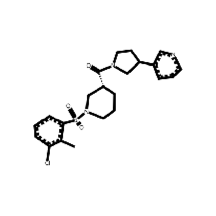 Cc1c(Cl)cccc1S(=O)(=O)N1CCC[C@@H](C(=O)N2CCC(c3cccnc3)C2)C1